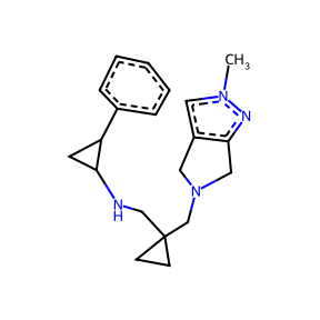 Cn1cc2c(n1)CN(CC1(CNC3CC3c3ccccc3)CC1)C2